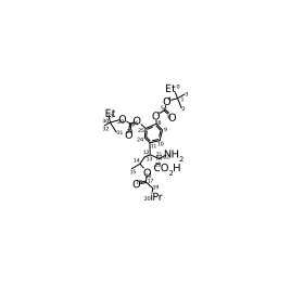 CCC(C)(C)OC(=O)Oc1ccc(C(CC(C)OC(=O)CC(C)C)[C@H](N)C(=O)O)cc1OC(=O)OC(C)(C)CC